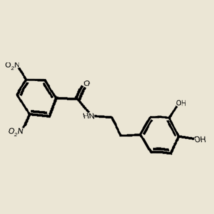 O=C(NCCc1ccc(O)c(O)c1)c1cc([N+](=O)[O-])cc([N+](=O)[O-])c1